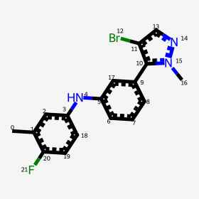 Cc1cc(Nc2cccc(-c3c(Br)cnn3C)c2)ccc1F